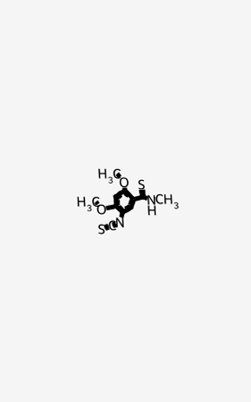 CNC(=S)c1cc(N=C=S)c(OC)cc1OC